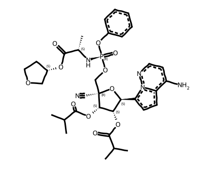 CC(C)C(=O)O[C@H]1[C@H](c2ccc3c(N)ccnn23)O[C@](C#N)(CO[P@](=O)(N[C@@H](C)C(=O)O[C@H]2CCOC2)Oc2ccccc2)[C@H]1OC(=O)C(C)C